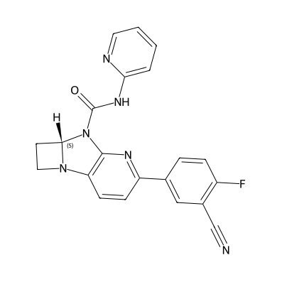 N#Cc1cc(-c2ccc3c(n2)N(C(=O)Nc2ccccn2)[C@H]2CCN32)ccc1F